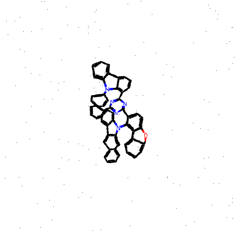 c1ccc(-c2nc(-c3ccc4oc5ccccc5c4c3-n3c4ccccc4c4cc5ccccc5cc43)nc(-c3cccc4c5ccccc5n(-c5ccccc5)c34)n2)cc1